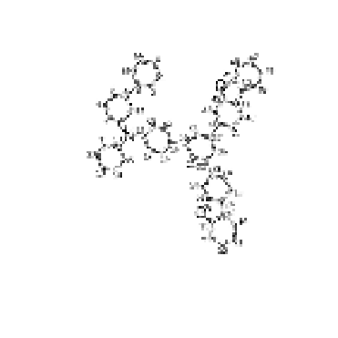 c1ccc(-c2cccc(N(c3ccccc3)c3ccc(-c4cc(-c5ccc6c(c5)oc5ccccc56)cc(-c5ccc6c(c5)oc5ccccc56)c4)cc3)c2)cc1